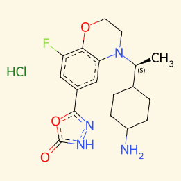 C[C@@H](C1CCC(N)CC1)N1CCOc2c(F)cc(-c3n[nH]c(=O)o3)cc21.Cl